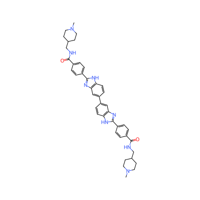 CN1CCC(CNC(=O)c2ccc(-c3nc4cc(-c5ccc6[nH]c(-c7ccc(C(=O)NCC8CCN(C)CC8)cc7)nc6c5)ccc4[nH]3)cc2)CC1